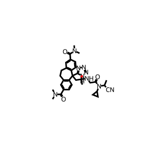 CC(C#N)N(C(=O)CNC(C)(C)CC1(c2nnn[nH]2)c2ccc(C(=O)N(C)C)cc2CCc2cc(C(=O)N(C)C)ccc21)C1CC1